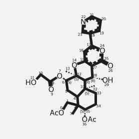 CC(=O)OCC1(C)C2C[C@H](OC(=O)CO)[C@@]3(C)Oc4cc(-c5cccnc5)oc(=O)c4[C@H](O)C3[C@@]2(C)CC[C@@H]1OC(C)=O